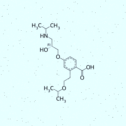 CC(C)NC[C@@H](O)COc1ccc(C(=O)O)c(CCOC(C)C)c1